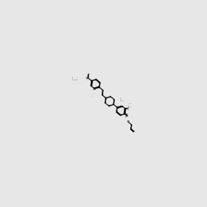 C=CCCOc1ccc(C2CCC(CCc3ccc(C(C)O)cc3F)CC2)c(F)c1F